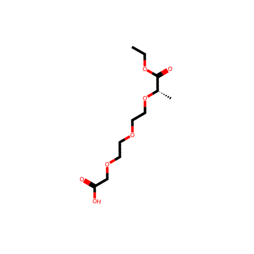 CCOC(=O)[C@H](C)OCCOCCOCC(=O)O